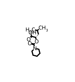 CC(C)C[C@H](OC(=O)N1CCCCC1)C(=O)O